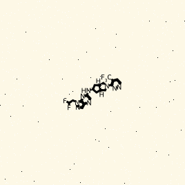 FC(F)Cn1ncc2ncc(N[C@H]3C[C@@H]4CN(c5nnccc5C(F)(F)F)C[C@@H]4C3)nc21